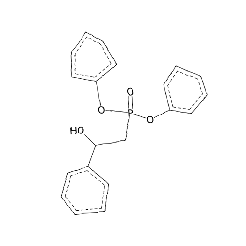 O=P(CC(O)c1ccccc1)(Oc1ccccc1)Oc1ccccc1